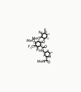 CNC(=O)c1cc(NC(=O)c2c(Oc3ccc(F)c(F)c3OC)cc(OC)c(C(F)(F)F)c2F)ccn1